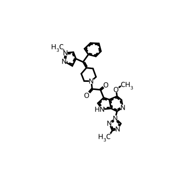 COc1cnc(-n2cnc(C)n2)c2[nH]cc(C(=O)C(=O)N3CCC(=C(c4ccccc4)c4cnn(C)c4)CC3)c12